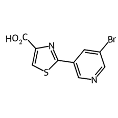 O=C(O)c1csc(-c2cncc(Br)c2)n1